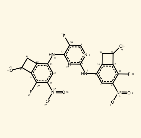 O=[N+]([O-])c1cc(Nc2ncc(F)c(Nc3cc([N+](=O)[O-])c(F)c4c3CC4O)n2)c2c(c1F)C(O)C2